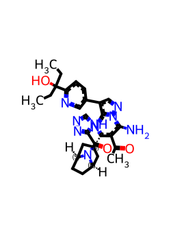 CCC(O)(CC)c1ccc(-c2cnn3c(N)c(C(C)=O)c([C@@H]4C[C@H]5CC[C@@H](C4)N5C(=O)c4nnc[nH]4)nc23)cn1